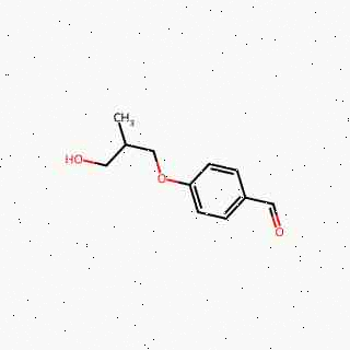 CC(CO)COc1ccc(C=O)cc1